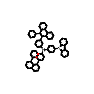 c1ccc(-c2c(-c3cccc(N(c4ccc(-c5cccc6cccc(-c7ccccc7)c56)cc4)c4ccc(-n5c6ccccc6c6ccccc65)cc4)c3)c3ccccc3c3ccccc23)cc1